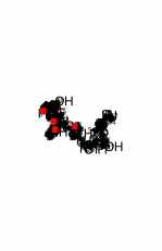 C#Cc1c(F)ccc2cc(O)cc(-c3ncc4c(N5CC6CCC(C5)N6)nc(OC[C@]56CCCN5[C@H](COc5cc([C@@H](C(=O)N7C[C@H](O)C[C@H]7C(=O)N[C@@H](C)c7ccc(-c8scnc8C)cc7)C(C)C)on5)CC6)nc4c3F)c12